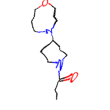 CCC(=O)N1CCC(N2CCCOCC2)CC1